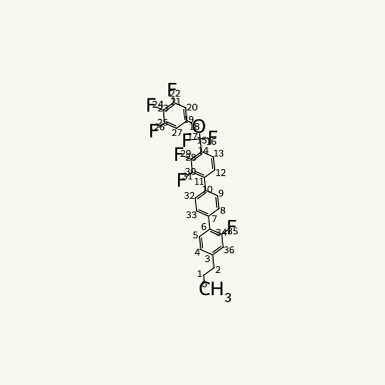 CCCc1ccc(-c2ccc(-c3ccc(C(F)(F)Oc4cc(F)c(F)c(F)c4)c(F)c3F)cc2)c(F)c1